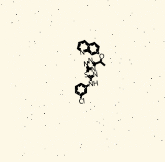 CC(Oc1ccc2cccnc2c1)c1nnc2sc(Nc3cccc(Cl)c3)nn12